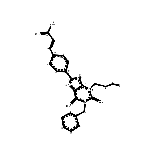 CCCCn1c(=O)n(Cc2ccccc2)c(=O)c2nc(-c3ccc(/C=C/C(=O)O)cc3)[nH]c21